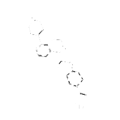 CC(C)(C)OC(=O)c1ccc(NC(=O)[C@H]2NCCc3c(C4=CCN(C(=O)O)CC4)cccc32)cc1